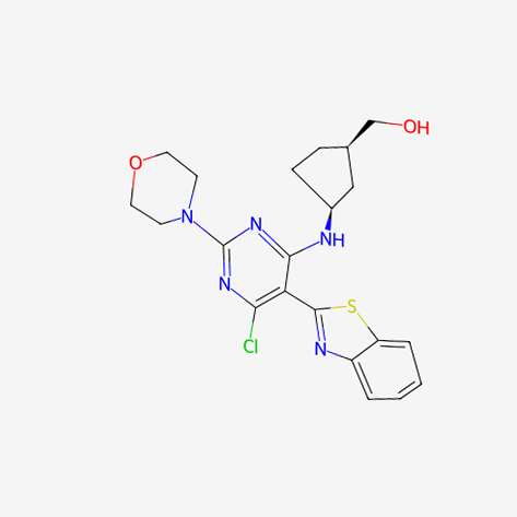 OC[C@@H]1CC[C@H](Nc2nc(N3CCOCC3)nc(Cl)c2-c2nc3ccccc3s2)C1